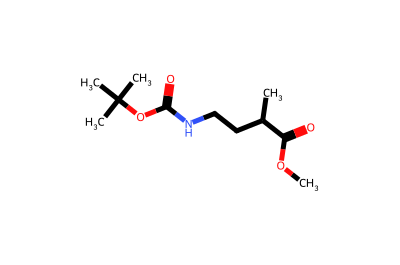 COC(=O)C(C)CCNC(=O)OC(C)(C)C